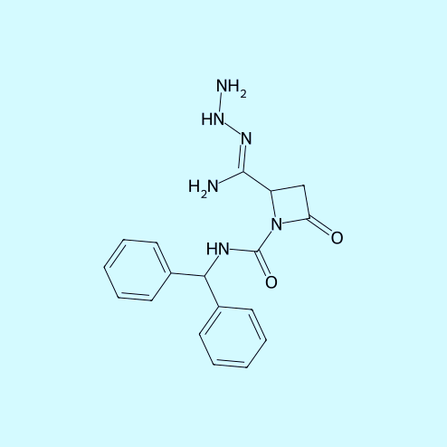 NN/N=C(\N)C1CC(=O)N1C(=O)NC(c1ccccc1)c1ccccc1